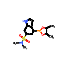 C=C1OP(c2cc(S(=O)(=O)N(C)C)cc3[nH]ccc23)OC1=C